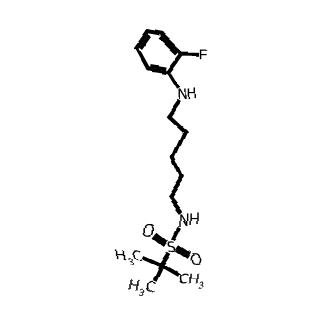 CC(C)(C)S(=O)(=O)NCCCCCNc1ccccc1F